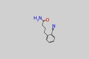 N#Cc1ccccc1CCCC(N)=O